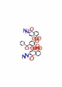 [N-]=[N+]=C1C=Cc2c(cccc2S(=O)(=O)Oc2ccc(C(=O)c3ccccc3)c(O)c2OS(=O)(=O)c2cccc3c2C=CC(=[N+]=[N-])C3=O)C1=O